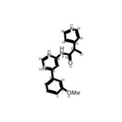 COc1cccc(-c2cc(NC(=O)C(C)c3ccncc3)ncn2)c1